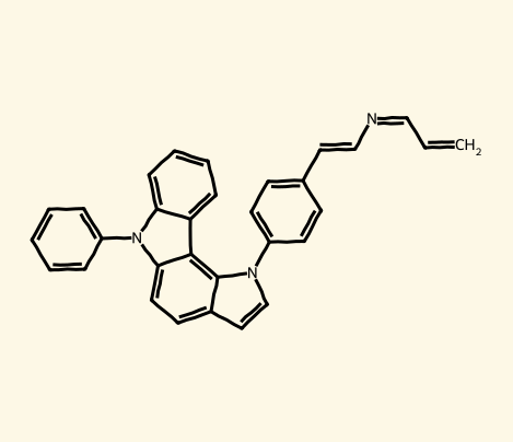 C=C/C=N\C=C\c1ccc(-n2ccc3ccc4c(c5ccccc5n4-c4ccccc4)c32)cc1